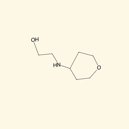 OCCNC1CCOCC1